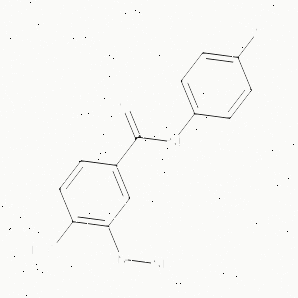 Cc1ccc(C(=O)Nc2ccc(Cl)cc2)cc1NN